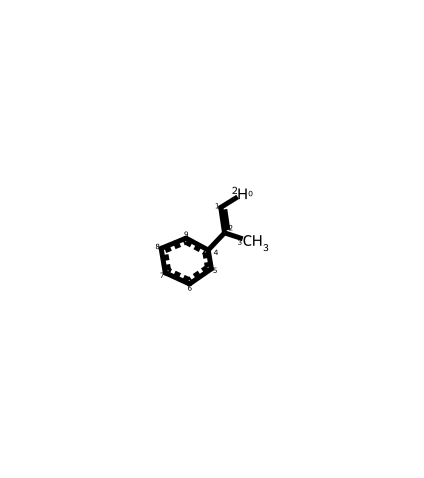 [2H]C=C(C)c1ccccc1